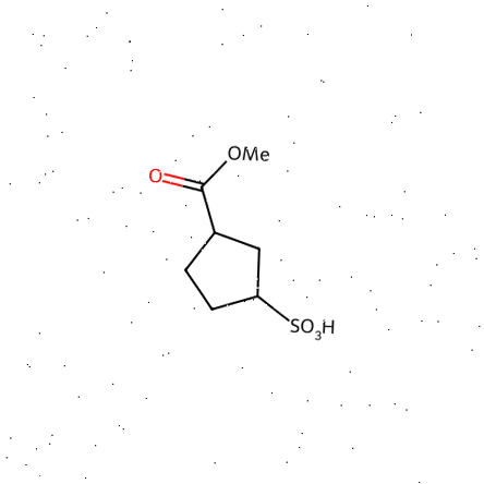 COC(=O)C1CCC(S(=O)(=O)O)C1